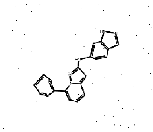 c1ccc(-c2cccc3nc(Nc4ccc5cn[nH]c5c4)nn23)cc1